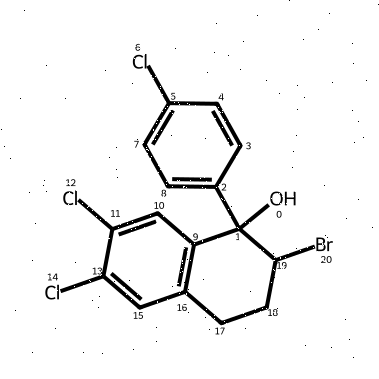 OC1(c2ccc(Cl)cc2)c2cc(Cl)c(Cl)cc2CCC1Br